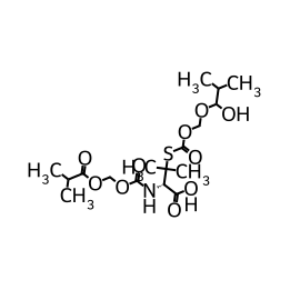 CC(C)C(=O)OCOC(=O)N[C@@H](C(=O)O)C(C)(C)SC(=O)OCOC(O)C(C)C